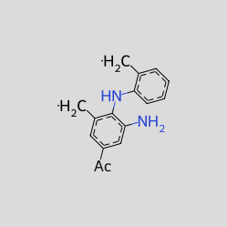 [CH2]c1ccccc1Nc1c([CH2])cc(C(C)=O)cc1N